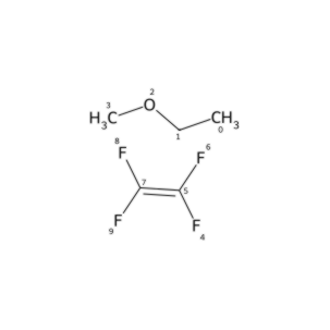 CCOC.FC(F)=C(F)F